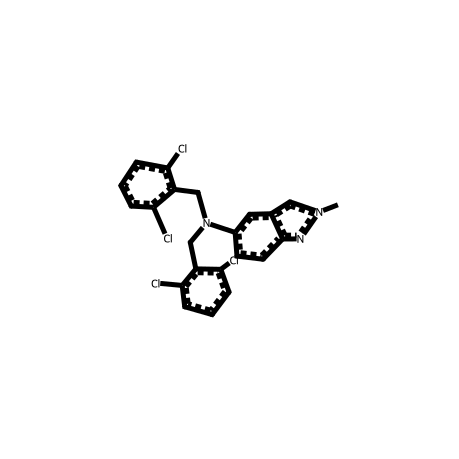 Cn1cc2cc(N(Cc3c(Cl)cccc3Cl)Cc3c(Cl)cccc3Cl)ccc2n1